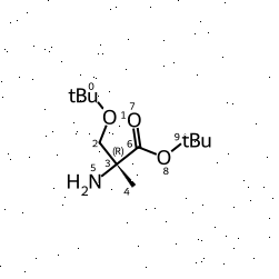 CC(C)(C)OC[C@@](C)(N)C(=O)OC(C)(C)C